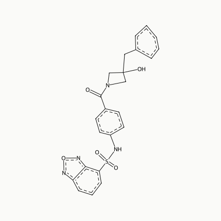 O=C(c1ccc(NS(=O)(=O)c2cccc3nonc23)cc1)N1CC(O)(Cc2ccccc2)C1